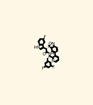 O=C(Cc1c[nH]c2ccc(F)cc12)N[C@@H](Cc1cc(F)cc(F)c1)c1ncccc1-c1ccc2nonc2c1